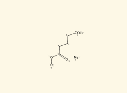 CCOC(=O)CCCC(=O)[O-].[Na+]